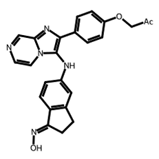 CC(=O)COc1ccc(-c2nc3cnccn3c2Nc2ccc3c(c2)CCC3=NO)cc1